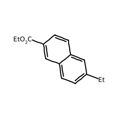 CCOC(=O)c1ccc2cc(CC)ccc2c1